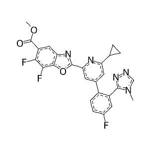 COC(=O)c1cc2nc(-c3cc(-c4ccc(F)cc4-c4nncn4C)cc(C4CC4)n3)oc2c(F)c1F